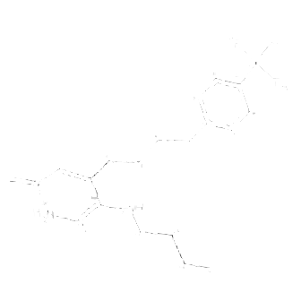 C=N/C=C(CCCCc1ccc(C(C)(F)F)cc1)\C(=N/N)NCCCC